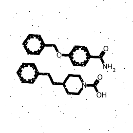 NC(=O)c1ccc(OCc2ccccc2)cc1.O=C(O)N1CCC(CCc2ccccc2)CC1